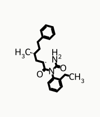 CCc1ccccc1N(C(N)=O)C(=O)[CH]C[C@H](C)CCc1ccccc1